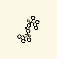 CCC(C)(c1ccc2c(c1)C(C)(C)c1cc3c(cc1-2)C3(CC)N(c1ccccc1)c1cc2ccccc2c2ccccc12)N(c1ccccc1)c1cc2ccccc2c2ccccc12